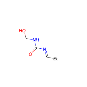 CCC=NC(=O)NCO